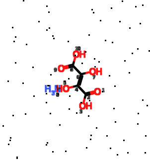 N.O=C(O)C(O)=C(O)C(=O)O